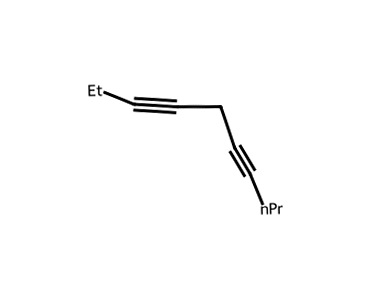 CCC#CCC#CCCC